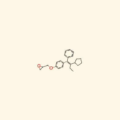 CCC(=C(c1ccccc1)c1ccc(OCC2CO2)cc1)C1CCCC1